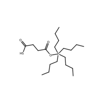 CCCCP(CCCC)(CCCC)(CCCC)OC(=O)CCC(=O)S